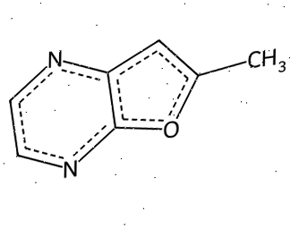 Cc1cc2nccnc2o1